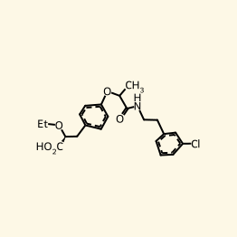 CCO[C@@H](Cc1ccc(OC(C)C(=O)NCCc2cccc(Cl)c2)cc1)C(=O)O